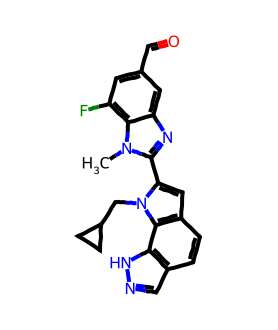 Cn1c(-c2cc3ccc4cn[nH]c4c3n2CC2CC2)nc2cc(C=O)cc(F)c21